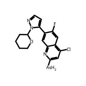 Fc1cc2c(Cl)cc([AsH2])nc2cc1-c1ccnn1C1CCCCO1